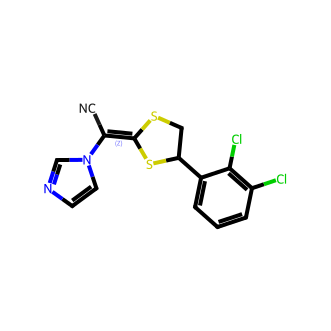 N#C/C(=C1\SCC(c2cccc(Cl)c2Cl)S1)n1ccnc1